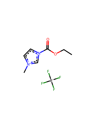 CCOC(=O)n1cc[n+](C)c1.F[B-](F)(F)F